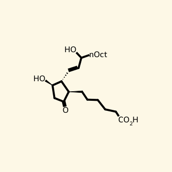 CCCCCCCCC(O)/C=C/[C@H]1[C@H](O)CC(=O)[C@@H]1CCCCCC(=O)O